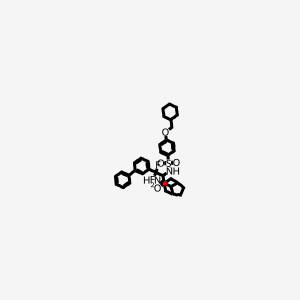 NC1CC2CCC(C1)C2C(=O)C(NS(=O)(=O)c1ccc(OCC2CCCCC2)cc1)C(F)(F)c1cccc(-c2ccccc2)c1